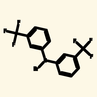 FC(F)(F)c1cccc(B(Br)c2cccc(C(F)(F)F)c2)c1